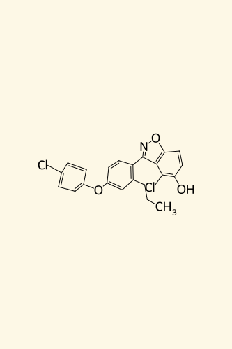 CCCc1cc(Oc2ccc(Cl)cc2)ccc1-c1noc2ccc(O)c(Cl)c12